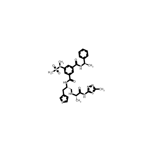 Cc1nnc(NC(=O)[C@H](C)NC[C@H](Cc2ccsc2)NC(=O)c2cc(C(=O)N[C@H](C)c3ccccc3)cc(N(C)S(C)(=O)=O)c2)s1